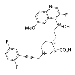 COc1ccc2ncc(F)c([C@@H](O)CC[C@H]3CCN(CC#Cc4cc(F)ccc4F)C[C@H]3C(=O)O)c2c1